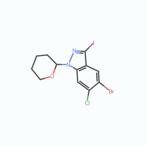 Clc1cc2c(cc1Br)c(I)nn2C1CCCCO1